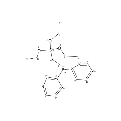 CCO[Si](CC)(OCC)OCC.c1ccc(Pc2ccccc2)cc1